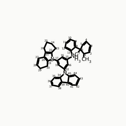 CC1C=CC=CC1(C)c1ccccc1Nc1cc(-n2c3c(c4c2CCCC4)C=CCC3)cc(-n2c3ccccc3c3ccccc32)c1